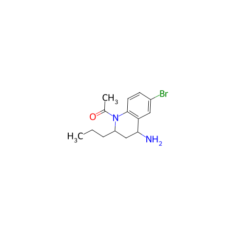 CCCC1CC(N)c2cc(Br)ccc2N1C(C)=O